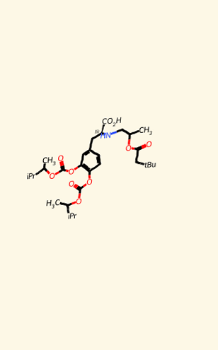 CC(CN[C@@H](Cc1ccc(OC(=O)OC(C)C(C)C)c(OC(=O)OC(C)C(C)C)c1)C(=O)O)OC(=O)CC(C)(C)C